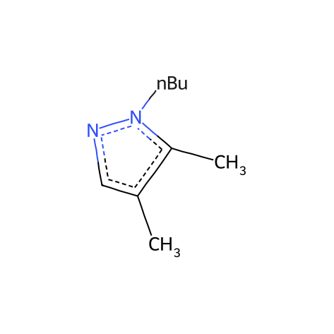 CCCCn1ncc(C)c1C